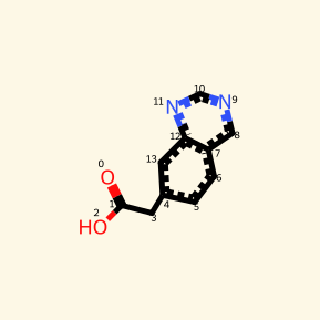 O=C(O)Cc1ccc2cncnc2c1